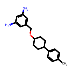 Cc1ccc(C2CCC(OCc3cc(N)cc(N)c3)CC2)cc1